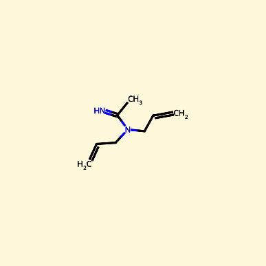 C=CCN(CC=C)C(C)=N